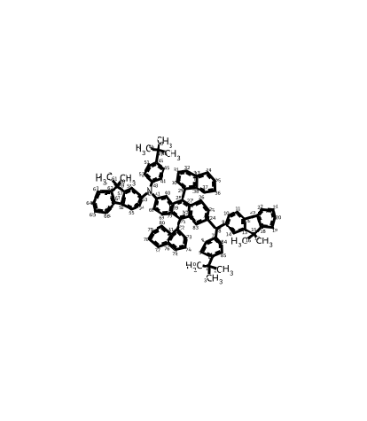 CC(C)(C)c1ccc(C(c2ccc3c(c2)C(C)(C)c2ccccc2-3)c2ccc3c(-c4cccc5ccccc45)c4cc(N(c5ccc(C(C)(C)C)cc5)c5ccc6c(c5)C(C)(C)c5ccccc5-6)ccc4c(-c4cccc5ccccc45)c3c2)cc1